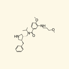 COCCCNc1cc(C(=O)N(C[C@H]2CNC[C@@H]2Cc2ccccc2)C(C)C)ccc1OC